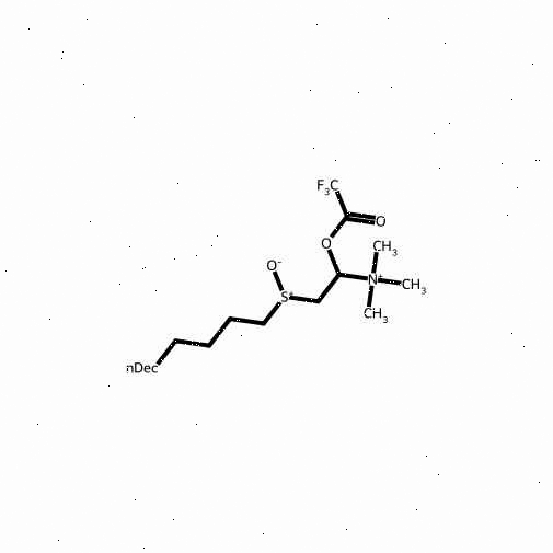 CCCCCCCCCCCCCC[S+]([O-])CC(OC(=O)C(F)(F)F)[N+](C)(C)C